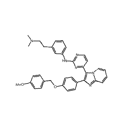 COc1ccc(COc2ccc(-c3nc4ccccn4c3-c3ccnc(Nc4cccc(CCN(C)C)c4)n3)cc2)cc1